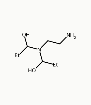 CCC(O)N(CCN)C(O)CC